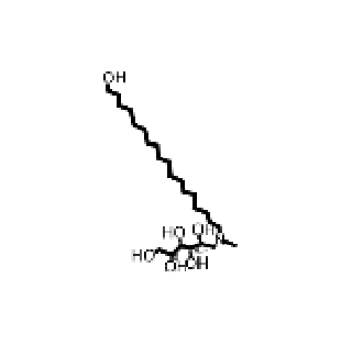 CN(CCCCCCCCCCCCCCCCCCO)C[C@H](O)[C@@H](O)[C@H](O)[C@H](O)CO